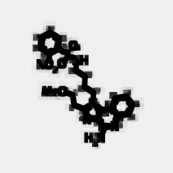 COCCc1nc2c(N)nc3ccccc3c2n1CCCCNS(=O)(=O)c1ccccc1[N+](=O)[O-]